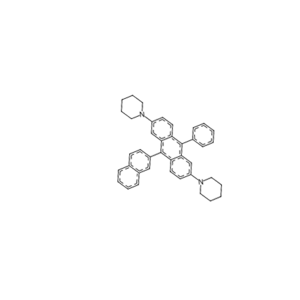 c1ccc(-c2c3ccc(N4CCCCC4)cc3c(-c3ccc4ccccc4c3)c3ccc(N4CCCCC4)cc23)cc1